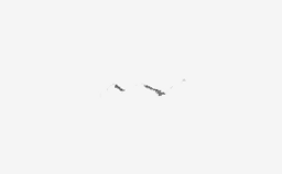 CC=CC=[CH][Fe]